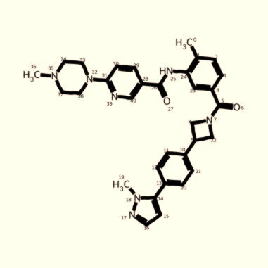 Cc1ccc(C(=O)N2CC(c3ccc(-c4ccnn4C)cc3)C2)cc1NC(=O)c1ccc(N2CCN(C)CC2)nc1